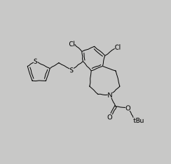 CC(C)(C)OC(=O)N1CCc2c(Cl)cc(Cl)c(SCc3cccs3)c2CC1